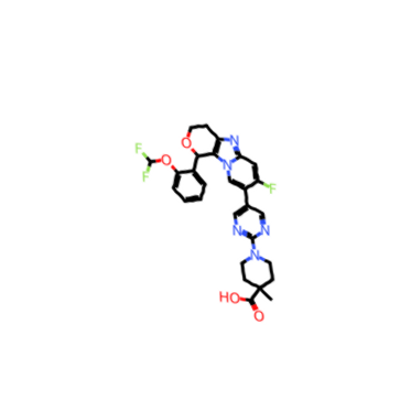 CC1(C(=O)O)CCN(c2ncc(-c3cn4c5c(nc4cc3F)CCOC5c3ccccc3OC(F)F)cn2)CC1